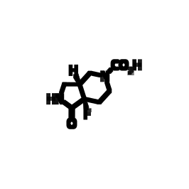 O=C(O)N1CC[C@]2(F)C(=O)NC[C@@H]2C1